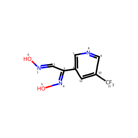 ON=CC(=NO)c1cncc(C(F)(F)F)c1